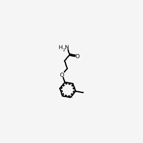 Cc1[c]ccc(OCCC(N)=O)c1